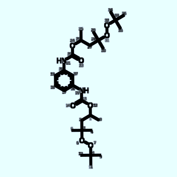 CC(CC(C)(C)OOC(C)(C)C)OC(=O)Nc1cccc(NC(=O)OC(C)CC(C)(C)OOC(C)(C)C)c1